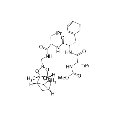 COC(=O)N[C@H](C(=O)N[C@@H](Cc1ccccc1)C(=O)N[C@@H](CC(C)C)C(=O)NCB1O[C@@H]2C[C@@H]3C[C@@H](C3(C)C)[C@]2(C)O1)C(C)C